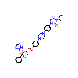 CCC(C)n1ncn(-c2ccc(N3CCN(c4ccc(OC[C@@H]5CO[C@@](Cn6ncnn6)(c6ccccc6)O5)cc4)CC3)cc2)c1=O